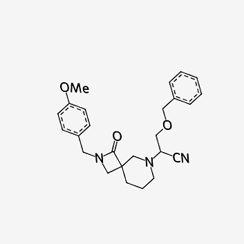 COc1ccc(CN2CC3(CCCN(C(C#N)COCc4ccccc4)C3)C2=O)cc1